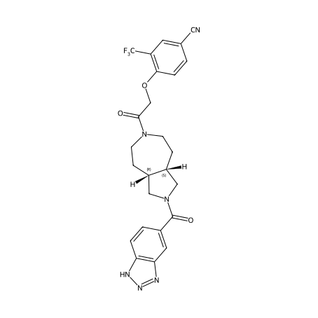 N#Cc1ccc(OCC(=O)N2CC[C@@H]3CN(C(=O)c4ccc5[nH]nnc5c4)C[C@@H]3CC2)c(C(F)(F)F)c1